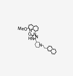 COc1ccc2cccc(-n3nc(C4CCCN(CCc5ccc6ccccc6c5)C4)[nH]c3=O)c2n1